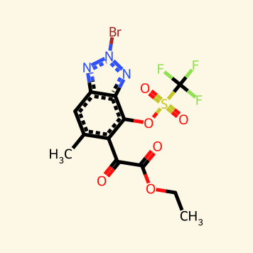 CCOC(=O)C(=O)c1c(C)cc2nn(Br)nc2c1OS(=O)(=O)C(F)(F)F